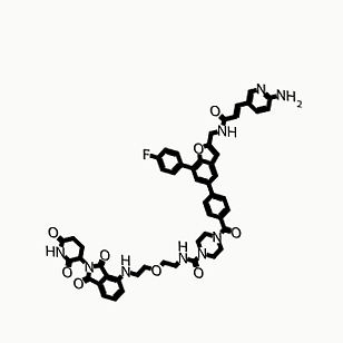 Nc1ccc(/C=C/C(=O)NCc2cc3cc(-c4ccc(C(=O)N5CCN(C(=O)NCCOCCNc6cccc7c6C(=O)N(C6CCC(=O)NC6=O)C7=O)CC5)cc4)cc(-c4ccc(F)cc4)c3o2)cn1